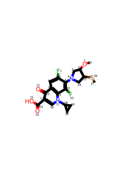 COC1CN(c2c(F)cc3c(=O)c(C(=O)O)cn(C4CC4)c3c2F)CC1SC